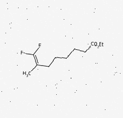 CCOC(=O)CCCCCC(C)=C(F)F